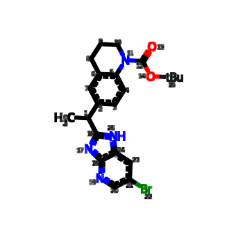 CC(c1ccc2c(c1)CCCN2C(=O)OC(C)(C)C)c1nc2ncc(Br)cc2[nH]1